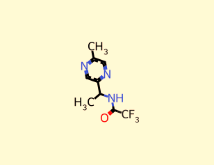 Cc1cnc(C(C)NC(=O)C(F)(F)F)cn1